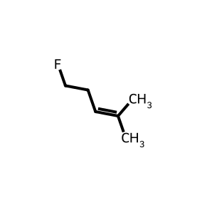 CC(C)=CCCF